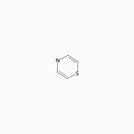 C1=CSC=C[N]1